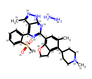 Cc1cc(-c2nc(-c3ccccc3S(=O)(=O)C(C)C)c3c(C)n[nH]c3n2)c2c(c1C1CCN(C)CC1)CCO2.NN